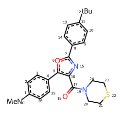 CNc1ccc(-c2oc(-c3ccc(C(C)(C)C)cc3)nc2C(=O)N2CCSCC2)cc1